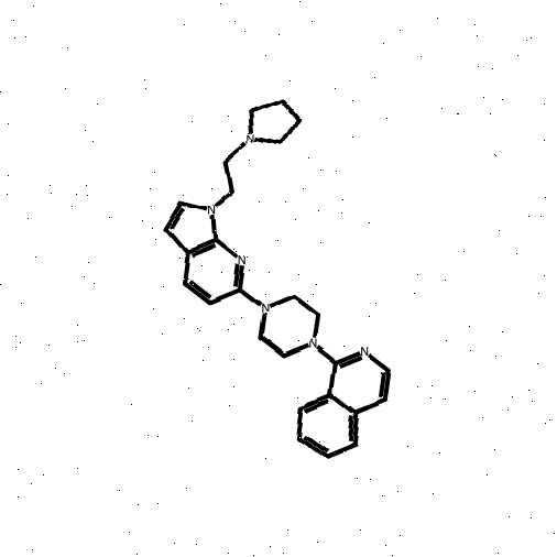 c1ccc2c(N3CCN(c4ccc5ccn(CCN6CCCC6)c5n4)CC3)nccc2c1